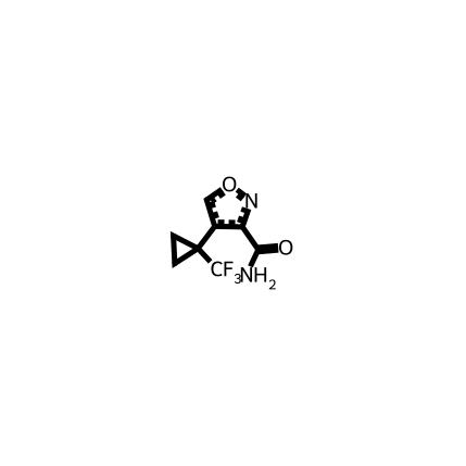 NC(=O)c1nocc1C1(C(F)(F)F)CC1